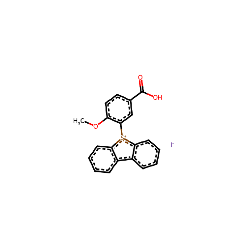 COc1ccc(C(=O)O)cc1-[s+]1c2ccccc2c2ccccc21.[I-]